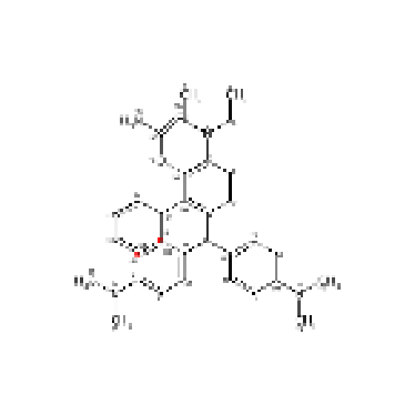 CCN(CC)c1ccc(C(c2ccc(N(C)C)cc2)c2ccc(N(C)C)cc2)c(-c2ccccc2)c1OC(N)=O